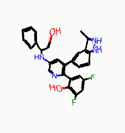 CC1NNc2ccc(-c3cc(NC(CO)c4ccccc4)cnc3-c3cc(F)cc(F)c3O)cc21